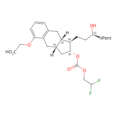 CCCCC[C@H](O)CC[C@@H]1[C@H]2Cc3cccc(OCC(=O)O)c3C[C@H]2C[C@H]1OC(=O)OCC(F)F